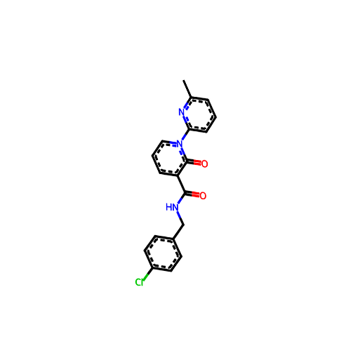 Cc1cccc(-n2cccc(C(=O)NCc3ccc(Cl)cc3)c2=O)n1